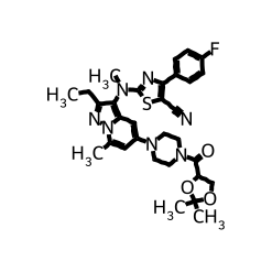 CCc1nn2c(C)cc(N3CCN(C(=O)C4COC(C)(C)O4)CC3)cc2c1N(C)c1nc(-c2ccc(F)cc2)c(C#N)s1